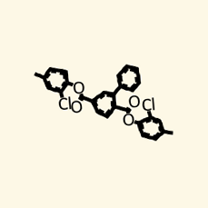 Cc1ccc(OC(=O)c2ccc(C(=O)Oc3ccc(C)cc3Cl)c(-c3ccccc3)c2)c(Cl)c1